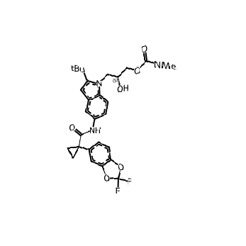 CNC(=O)OC[C@@H](O)Cn1c(C(C)(C)C)cc2cc(NC(=O)C3(c4ccc5c(c4)OC(F)(F)O5)CC3)ccc21